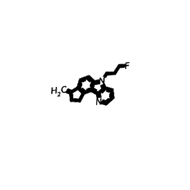 C=C1CCc2c1ccc1c2c2ncccc2n1CCCF